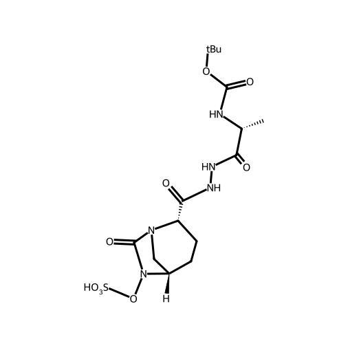 C[C@@H](NC(=O)OC(C)(C)C)C(=O)NNC(=O)[C@@H]1CC[C@H]2CN1C(=O)N2OS(=O)(=O)O